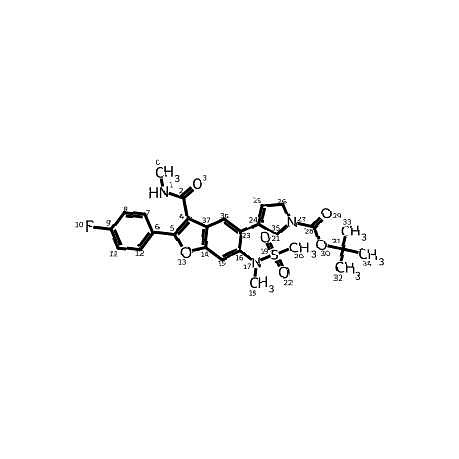 CNC(=O)c1c(-c2ccc(F)cc2)oc2cc(N(C)S(C)(=O)=O)c(C3=CCN(C(=O)OC(C)(C)C)C3)cc12